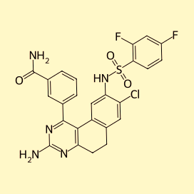 NC(=O)c1cccc(-c2nc(N)nc3c2-c2cc(NS(=O)(=O)c4ccc(F)cc4F)c(Cl)cc2CC3)c1